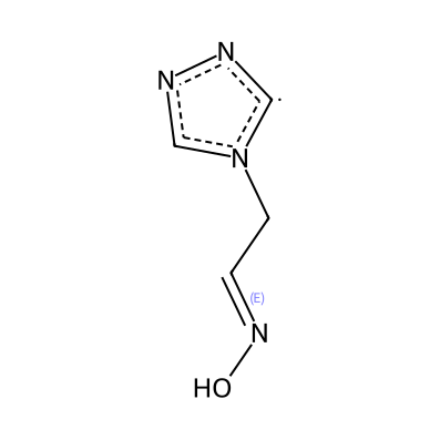 O/N=C/Cn1[c]nnc1